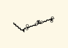 CCCCCCCCC1CC1COC(=O)CCCCCOCC(COCCCCCCC(=O)OC)N(C)C